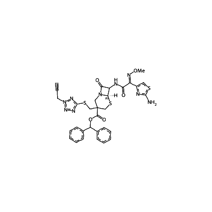 C#CCn1nnc(SCC2(C(=O)OC(c3ccccc3)c3ccccc3)CS[C@@H]3C(NC(=O)C(=NOC)c4csc(N)n4)C(=O)N3C2)n1